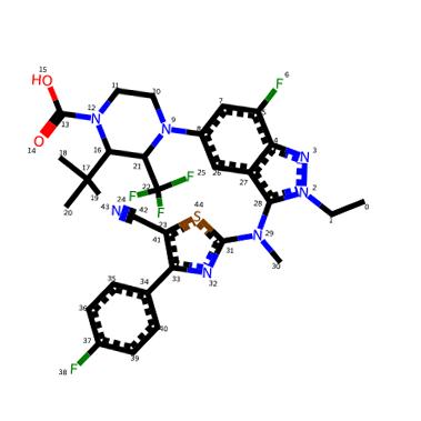 CCn1nc2c(F)cc(N3CCN(C(=O)O)C(C(C)(C)C)C3C(F)(F)F)cc2c1N(C)c1nc(-c2ccc(F)cc2)c(C#N)s1